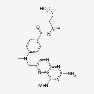 CNc1nc(N)nc2ncc(CN(C)c3ccc(C(=O)N[C@H](C)CCC(=O)O)cc3)nc12